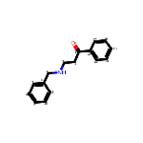 O=C(CCNCc1ccccc1)c1ccccc1